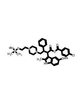 COc1ccc2[nH]c(C)c(C(C(=O)OC(=O)c3ccc(Cl)cc3)C(CN3CCN(CCO[Si](C)(C)C(C)(C)C)CC3)c3ccccc3)c2c1